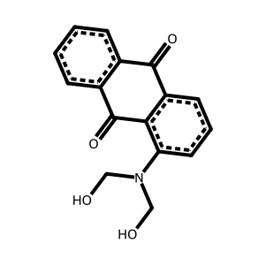 O=C1c2ccccc2C(=O)c2c1cccc2N(CO)CO